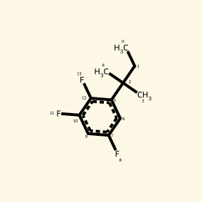 CCC(C)(C)c1cc(F)cc(F)c1F